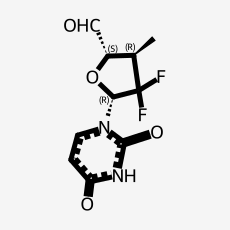 C[C@@H]1[C@@H](C=O)O[C@@H](n2ccc(=O)[nH]c2=O)C1(F)F